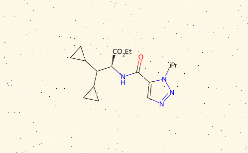 CCOC(=O)[C@@H](NC(=O)c1cnnn1C(C)C)C(C1CC1)C1CC1